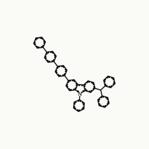 c1ccc(-c2ccc(-c3ccc(-c4ccc5c(c4)c4ccc(C(c6ccccc6)c6ccccc6)cc4n5-c4ccccc4)cc3)cc2)cc1